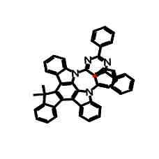 CC1(C)c2ccccc2-c2c1c1c3ccccc3n(-c3cc(-c4ccccc4)nc(-c4ccccc4)n3)c1c1c2c2ccccc2n1-c1ccccc1